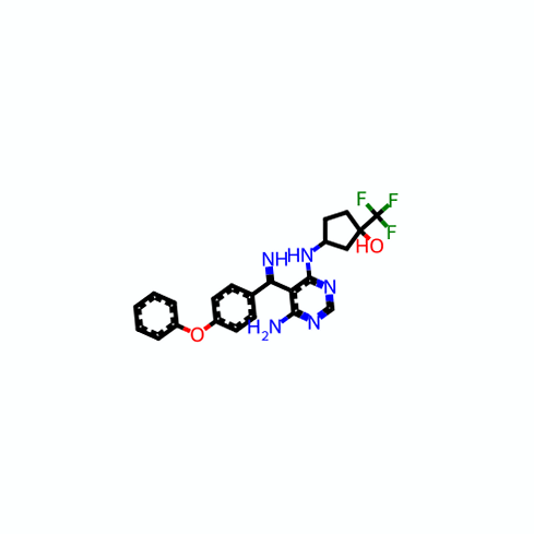 N=C(c1ccc(Oc2ccccc2)cc1)c1c(N)ncnc1NC1CCC(O)(C(F)(F)F)C1